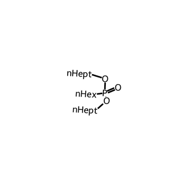 CCCCCCCOP(=O)(CCCCCC)OCCCCCCC